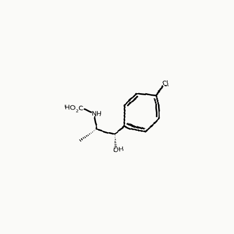 C[C@H](NC(=O)O)[C@@H](O)c1ccc(Cl)cc1